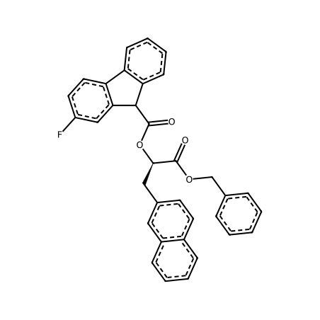 O=C(O[C@H](Cc1ccc2ccccc2c1)C(=O)OCc1ccccc1)C1c2ccccc2-c2ccc(F)cc21